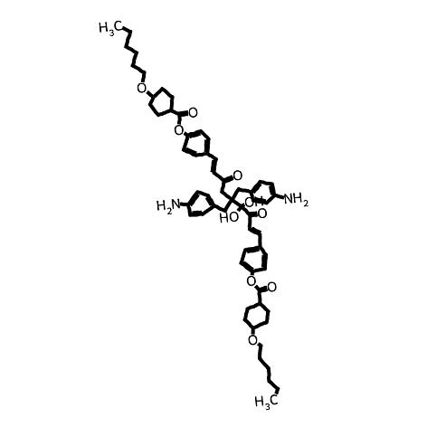 CCCCCCOC1CCC(C(=O)Oc2ccc(C=CC(=O)CC(Cc3ccc(N)cc3)(Cc3ccc(N)cc3)C(O)(O)C(=O)C=Cc3ccc(OC(=O)C4CCC(OCCCCCC)CC4)cc3)cc2)CC1